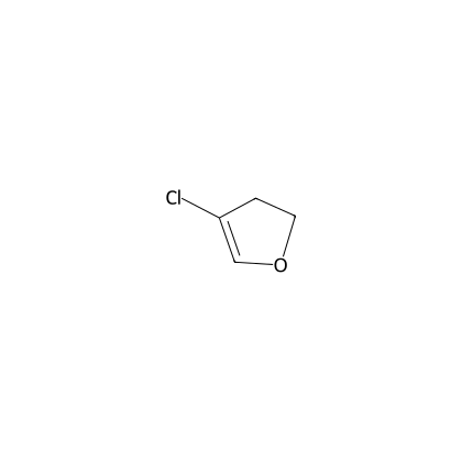 ClC1=COCC1